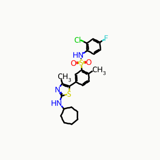 Cc1ccc(-c2sc(NC3CCCCCC3)nc2C)cc1S(=O)(=O)Nc1ccc(F)cc1Cl